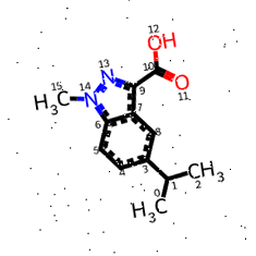 CC(C)c1ccc2c(c1)c(C(=O)O)nn2C